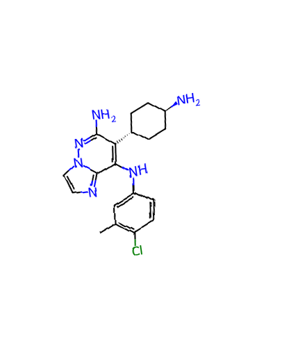 Cc1cc(Nc2c3nccn3nc(N)c2[C@H]2CC[C@H](N)CC2)ccc1Cl